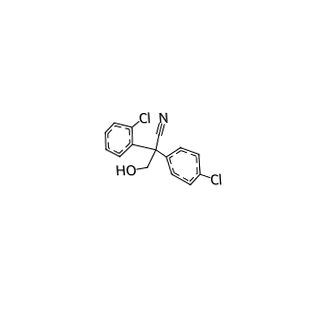 N#CC(CO)(c1ccc(Cl)cc1)c1ccccc1Cl